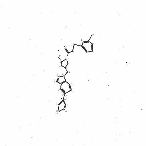 Cc1cccc(CCC(=O)N2CC(Cn3ncc4cc(-c5cn[nH]c5)ccc43)C[C@H]2C)c1